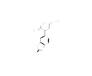 CCCC(c1ccc2oc(=O)[nH]c2c1)C(C)O